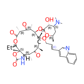 CC[C@H]1OC(=O)[C@H](C)C(=O)[C@H](C)[C@@H](O[C@@H]2O[C@H](C)C[C@H](N(C)C)[C@H]2O)[C@](C)(OC/C=C/c2cnc3ccccc3c2)C[C@@H](C)C(=O)[C@H](C)[C@H]2NC(=O)O[C@@]21C